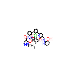 COc1nc(-c2cccc(-c3cccc(NC(=O)c4ccnn(C)c4=O)c3OC)c2Cl)ccc1CN[C@@H]1CCCC[C@@H]1O